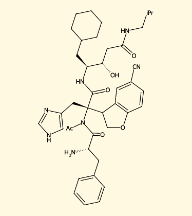 CC(=O)N(C(=O)[C@@H](N)Cc1ccccc1)[C@](Cc1c[nH]cn1)(C(=O)N[C@@H](CC1CCCCC1)[C@@H](O)CC(=O)NCC(C)C)C1COc2ccc(C#N)cc21